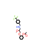 COC(CNCc1ccc(C(F)(F)F)cc1)COc1ccccc1OC(C)=O